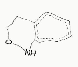 c1ccc2c(c1)CCON2